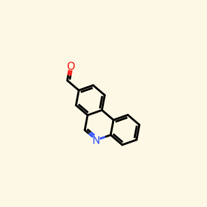 O=Cc1ccc2c(cnc3ccccc32)c1